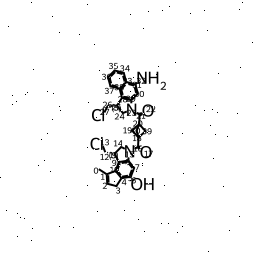 CC1=CCc2c(O)cc3c(c21)[C@H](CCl)CN3C(=O)C12CC(C(=O)N3C[C@@H](CCl)c4c3cc(N)c3ccccc43)(C1)C2